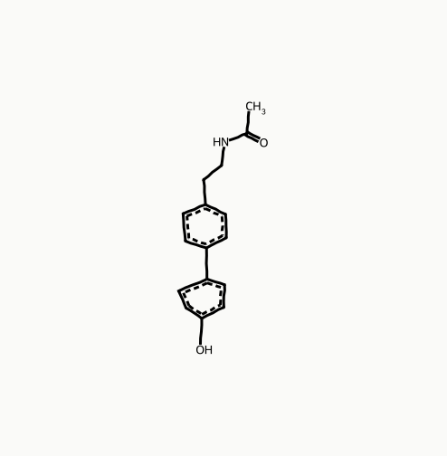 CC(=O)NCCc1ccc(-c2ccc(O)cc2)cc1